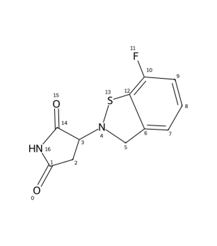 O=C1CC(N2Cc3cccc(F)c3S2)C(=O)N1